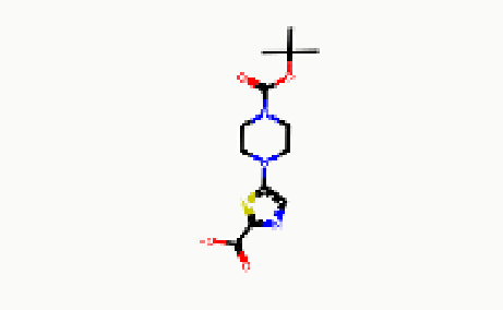 CC(C)(C)OC(=O)N1CCN(c2cnc(C(=O)O)s2)CC1